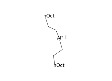 CCCCCCCCC[CH2][Al+][CH2]CCCCCCCCC.[I-]